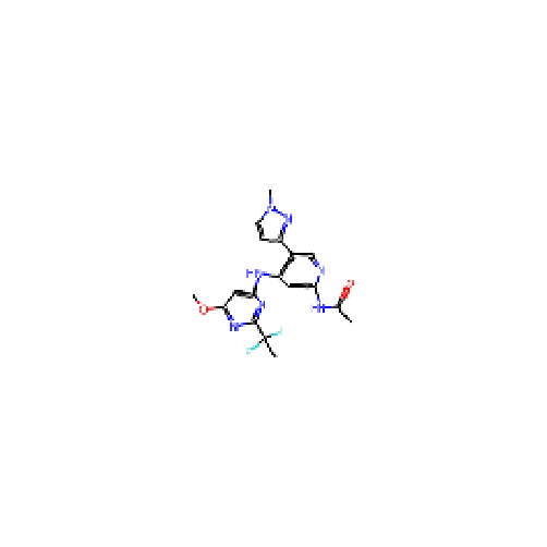 COc1cc(Nc2cc(NC(C)=O)ncc2-c2ccn(C)n2)nc(C(C)(F)F)n1